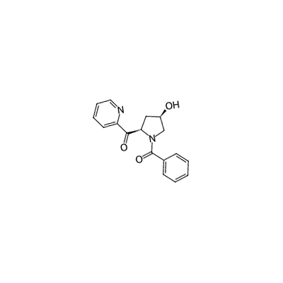 O=C(c1ccccn1)[C@H]1C[C@@H](O)CN1C(=O)c1ccccc1